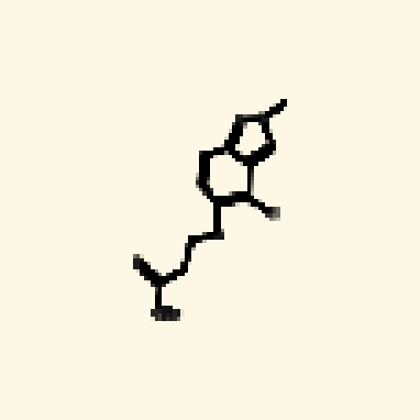 COC(=O)CCSc1ccc2nn(C)cc2c1Cl